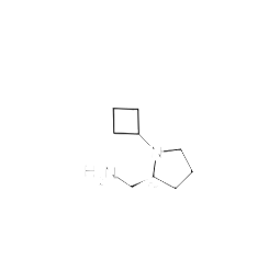 NC[C@@H]1CCCN1C1CCC1